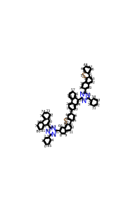 c1ccc(-c2nc(-c3ccc4ccc5c6ccc(-c7ccc8c(c7)cc(-c7nc(-c9ccccc9)nc(-c9ccc%10c(ccc%11c%12ccccc%12sc%10%11)c9)n7)c7ccccc78)cc6sc5c4c3)nc(-c3cc4ccccc4c4ccccc34)n2)cc1